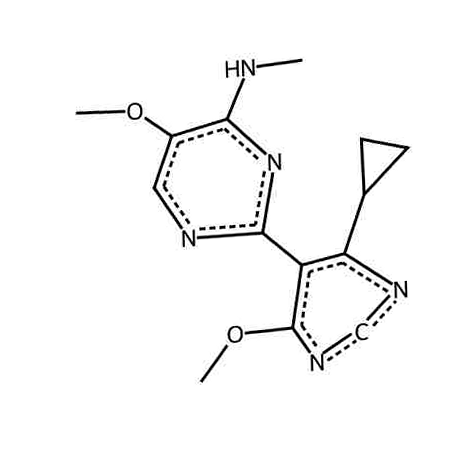 CNc1nc(-c2c(OC)ncnc2C2CC2)ncc1OC